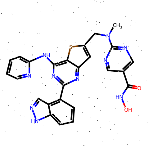 CN(Cc1cc2nc(-c3cccc4[nH]ncc34)nc(Nc3ccccn3)c2s1)c1ncc(C(=O)NO)cn1